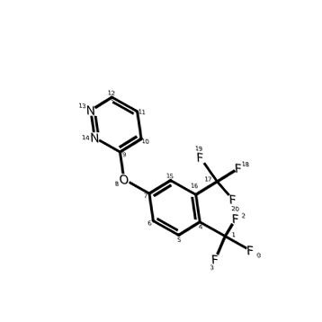 FC(F)(F)c1ccc(Oc2cc[c]nn2)cc1C(F)(F)F